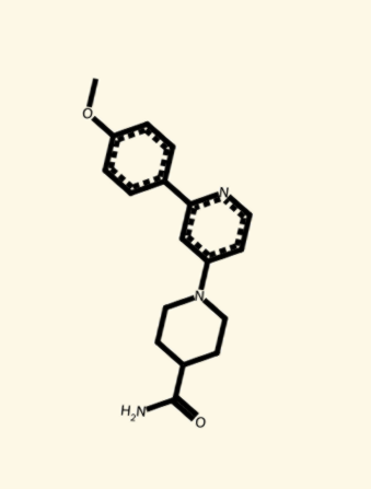 COc1ccc(-c2cc(N3CCC(C(N)=O)CC3)ccn2)cc1